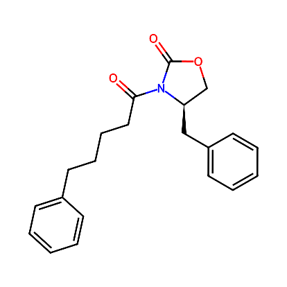 O=C(CCCCc1ccccc1)N1C(=O)OC[C@H]1Cc1ccccc1